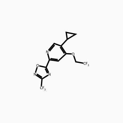 FC(F)(F)COc1cc(-c2nc(C(F)(F)F)no2)ncc1C1CC1